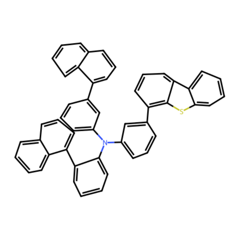 c1cc(-c2cccc3ccccc23)cc(N(c2cccc(-c3cccc4c3sc3ccccc34)c2)c2ccccc2-c2cccc3ccccc23)c1